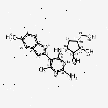 Cc1ccc2oc(-c3c(Cl)nc(N)nc3N[C@@H]3C[C@H](CO)[C@@H](O)[C@H]3O)cc2n1